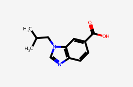 CC(C)Cn1cnc2ccc(C(=O)O)cc21